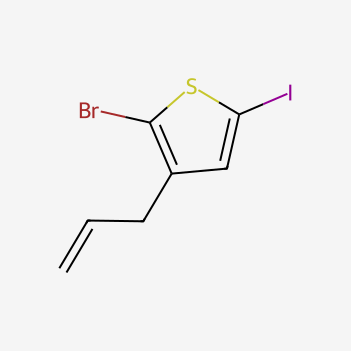 C=CCc1cc(I)sc1Br